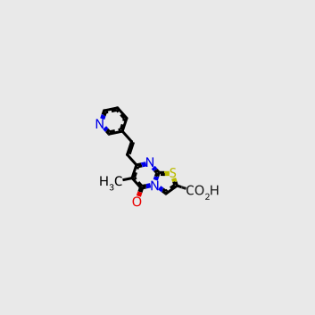 Cc1c(/C=C/c2cccnc2)nc2sc(C(=O)O)cn2c1=O